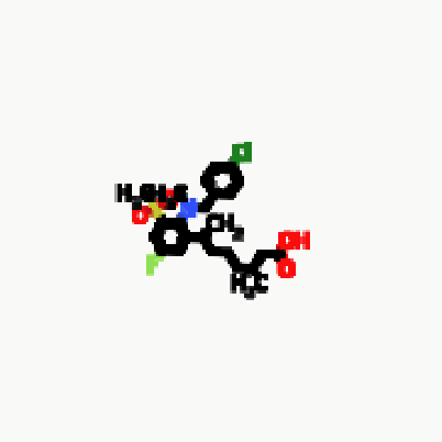 C=C(CCC[C@H](C)CC(=O)O)c1cc(F)cc(S(C)(=O)=O)c1N(C)Cc1ccc(Cl)cc1